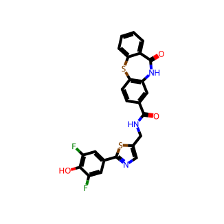 O=C(NCc1cnc(-c2cc(F)c(O)c(F)c2)s1)c1ccc2c(c1)NC(=O)c1ccccc1S2